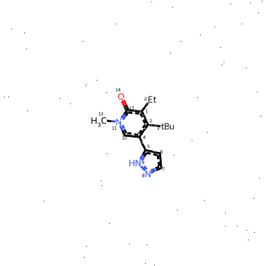 CCc1c(C(C)(C)C)c(-c2ccn[nH]2)cn(C)c1=O